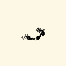 CC(C)c1ccc(CCCCOc2ccc(C=Cc3cccc4c(=O)cc(-c5nnn[nH]5)oc34)cc2)cc1